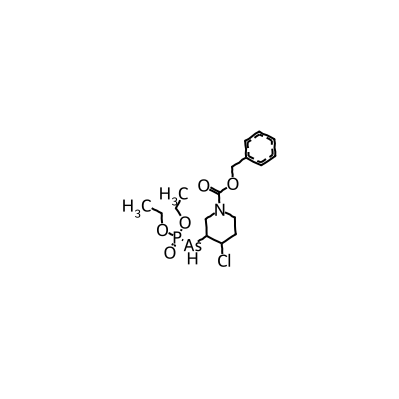 CCOP(=O)(OCC)[AsH]C1CN(C(=O)OCc2ccccc2)CCC1Cl